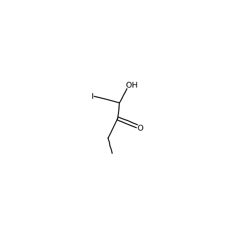 CCC(=O)C(O)I